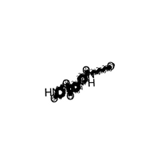 C=C1CNC(=O)CCC1N1C(=O)c2ccc(N3CCC(C(=O)NCCCCCC=O)CC3)cc2C1=O